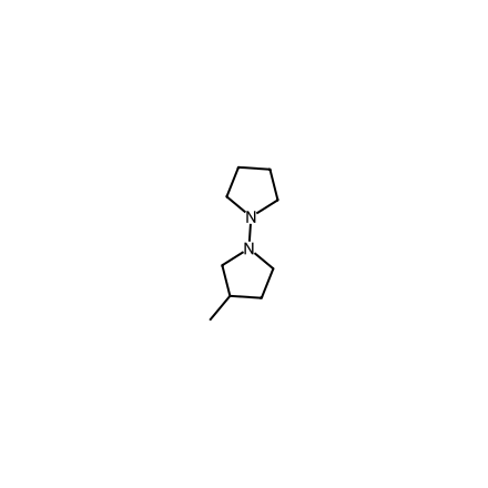 CC1CCN(N2CCCC2)C1